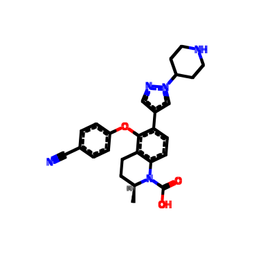 C[C@H]1CCc2c(ccc(-c3cnn(C4CCNCC4)c3)c2Oc2ccc(C#N)cc2)N1C(=O)O